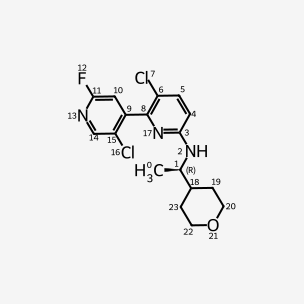 C[C@@H](Nc1ccc(Cl)c(-c2cc(F)ncc2Cl)n1)C1CCOCC1